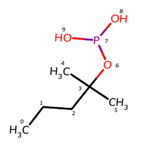 CCCC(C)(C)OP(O)O